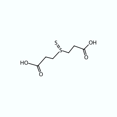 O=C(O)CCS(=S)CCC(=O)O